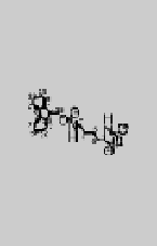 O=C(NCCCC[C@@H]1NC(=O)OC1=O)OCC1c2ccccc2-c2ccccc21